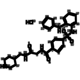 Cl.O=C(CNC(=O)c1ccc(S(=O)(=O)Nc2ccccc2Nc2ccccc2)cc1)NCC1CCNCC1